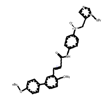 CCCCOc1ccc(-c2ccc(OC)c(/C=C/C(=O)Nc3ccc([S@@+]([O-])Cc4cncn4CCC)cc3)c2)cc1